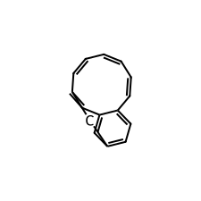 c1cccc2ccc3cc2cc(cc1)C3